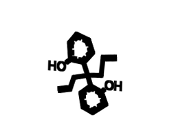 C=CCC(CC=C)(c1ccccc1O)c1ccccc1O